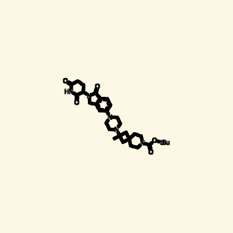 CC(C)(C)OC(=O)N1CCC2(CC1)CC(C)(N1CCN(c3ccc4c(c3)CN(C3CCC(=O)NC3=O)C4=O)CC1)C2